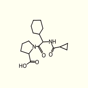 O=C(NC(C(=O)N1CCCC1C(=O)O)C1CCCCC1)C1CC1